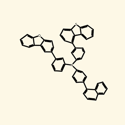 c1cc(-c2ccc3oc4ccccc4c3c2)cc(N(c2ccc(-c3cccc4ccccc34)cc2)c2cccc(-c3cccc4sc5ccccc5c34)c2)c1